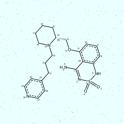 NC1=NS(=O)(=O)Nc2cccc(OC[C@H]3CCCCN3CCCc3ccncc3)c21